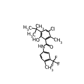 Cc1ccc(NC(=O)c2c(C)c(Cl)cc(C(C)(C)C)c2O)cc1C(F)(F)F